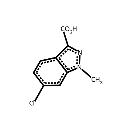 Cn1nc(C(=O)O)c2ccc(Cl)cc21